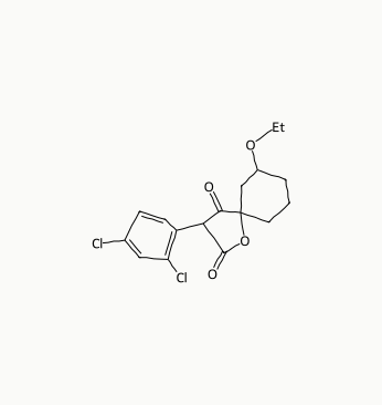 CCOC1CCCC2(C1)OC(=O)C(c1ccc(Cl)cc1Cl)C2=O